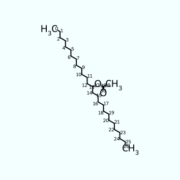 CCCCCCCCCCCCCC(CCCCCCCCCCCCC)OC(C)=O